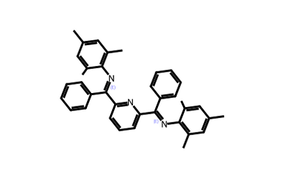 Cc1cc(C)c(/N=C(\c2ccccc2)c2cccc(/C(=N/c3c(C)cc(C)cc3C)c3ccccc3)n2)c(C)c1